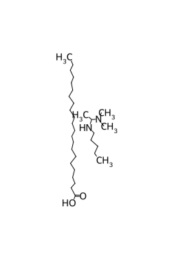 CCCCCCCCCCCCCCCCCCCCCC(=O)O.CCCCCNC(C)N(C)C